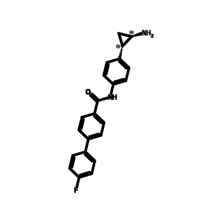 N[C@@H]1C[C@H]1c1ccc(NC(=O)c2ccc(-c3ccc(F)cc3)cc2)cc1